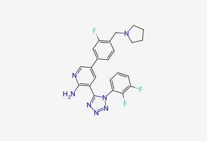 Nc1ncc(-c2ccc(CN3CCCC3)c(F)c2)cc1-c1nnnn1-c1cccc(F)c1F